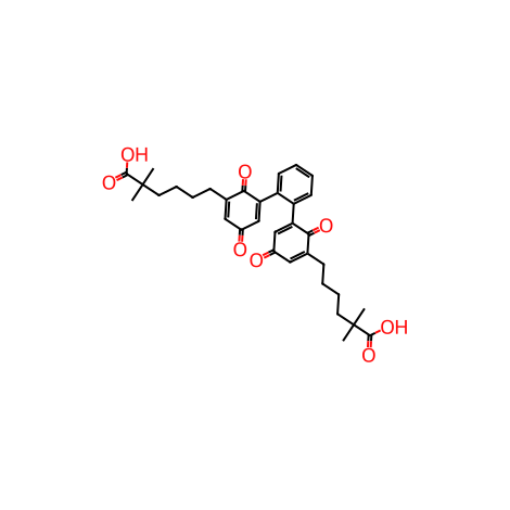 CC(C)(CCCCC1=CC(=O)C=C(c2ccccc2C2=CC(=O)C=C(CCCCC(C)(C)C(=O)O)C2=O)C1=O)C(=O)O